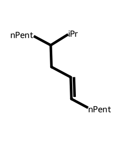 [CH2]CCCCC=CCC(CCCC[CH2])C(C)C